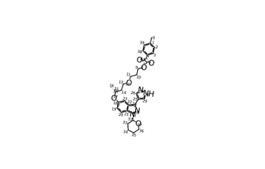 Cc1ccc(S(=O)(=O)OCCCOCC[C@@H](C)Oc2ccc3c(c2)c(-c2cn[nH]c2)nn3C2CCCCO2)cc1